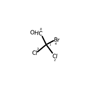 O=CC(Cl)(Cl)Br